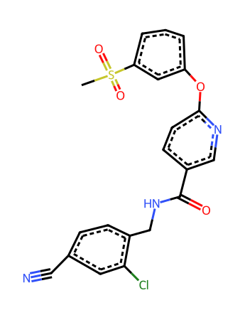 CS(=O)(=O)c1cccc(Oc2ccc(C(=O)NCc3ccc(C#N)cc3Cl)cn2)c1